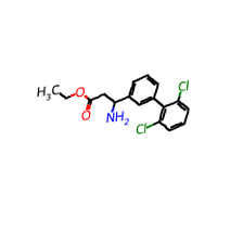 CCOC(=O)CC(N)c1cccc(-c2c(Cl)cccc2Cl)c1